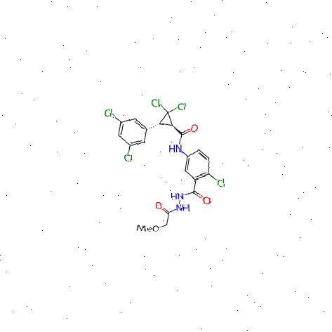 COCC(=O)NNC(=O)c1cc(NC(=O)[C@H]2[C@H](c3cc(Cl)cc(Cl)c3)C2(Cl)Cl)ccc1Cl